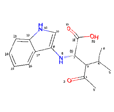 CC(=O)C(C(C)C)[C@H](Nc1c[nH]c2ccccc12)C(=O)O